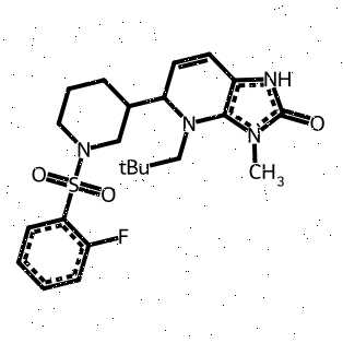 Cn1c2c([nH]c1=O)C=CC(C1CCCN(S(=O)(=O)c3ccccc3F)C1)N2CC(C)(C)C